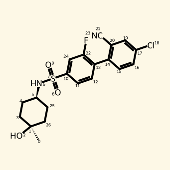 C[C@]1(O)CC[C@@H](NS(=O)(=O)c2ccc(-c3ccc(Cl)cc3C#N)c(F)c2)CC1